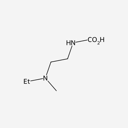 CCN(C)CCNC(=O)O